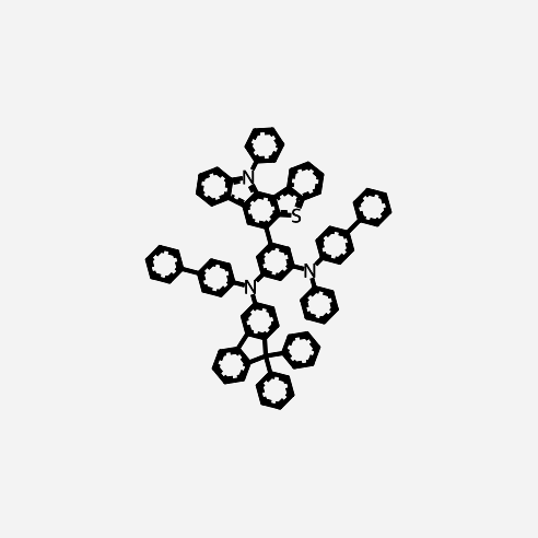 c1ccc(-c2ccc(N(c3ccccc3)c3cc(-c4cc5c6ccccc6n(-c6ccccc6)c5c5c4sc4ccccc45)cc(N(c4ccc(-c5ccccc5)cc4)c4ccc5c(c4)-c4ccccc4C5(c4ccccc4)c4ccccc4)c3)cc2)cc1